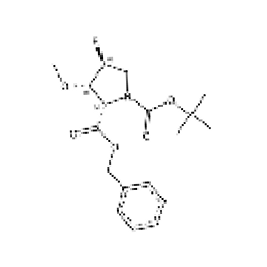 CO[C@H]1[C@@H](C(=O)OCc2ccccc2)N(C(=O)OC(C)(C)C)C[C@@H]1F